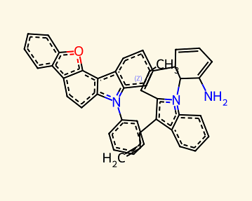 C=CCc1c(/C=C\C)n(C2C(N)=CC=CC2c2ccc3c4c5oc6ccccc6c5ccc4n(-c4ccccc4)c3c2)c2ccccc12